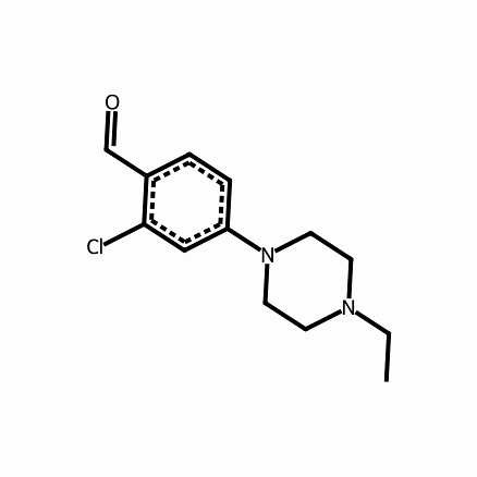 CCN1CCN(c2ccc(C=O)c(Cl)c2)CC1